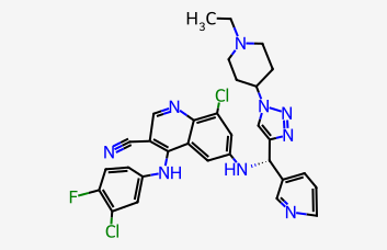 CCN1CCC(n2cc([C@@H](Nc3cc(Cl)c4ncc(C#N)c(Nc5ccc(F)c(Cl)c5)c4c3)c3cccnc3)nn2)CC1